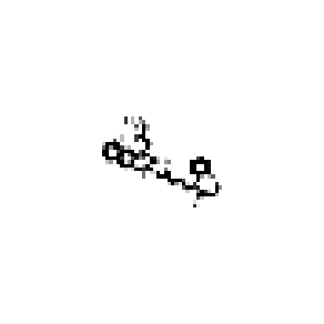 NCC(O)CNC(=O)[C@@H](Cc1ccc2ccccc2c1)NC(=O)CCCN1C(=O)CCSc2ccccc21